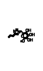 CCCc1cn(C[C@H]2O[C@H](OC)[C@H](O)[C@@H](O)[C@@H]2O)nn1